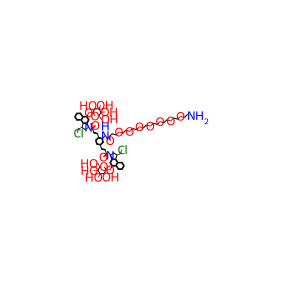 NCCOCCOCCOCCOCCOCCOCCOCCC(=O)Nc1cc(/C=C/C(=O)N2C[C@@H](CCl)c3c2cc(O[C@@H]2O[C@H](CO)[C@H](O)[C@H](O)[C@H]2O)c2ccccc32)ccc1/C=C/C(=O)N1C[C@@H](CCl)c2c1cc(O[C@@H]1O[C@H](CO)[C@H](O)[C@H](O)[C@H]1O)c1ccccc21